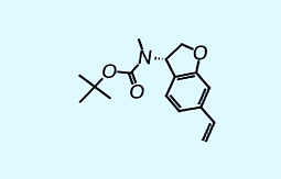 C=Cc1ccc2c(c1)OC[C@H]2N(C)C(=O)OC(C)(C)C